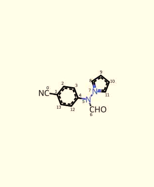 N#Cc1ccc(N(C=O)n2cccc2)cc1